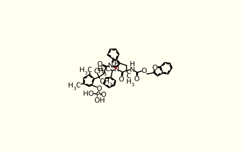 Cc1cc(C)c(C(C)(C)CC(=O)n2cc(CC(C)(NC(=O)OCc3cc4ccccc4o3)C(=O)NC(C)c3ccccc3)c3ccccc32)c(OP(=O)(O)O)c1